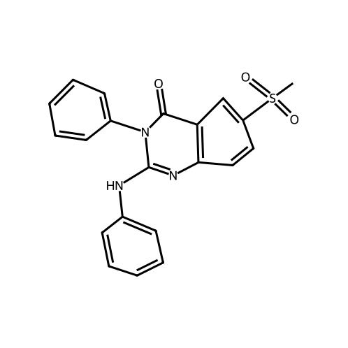 CS(=O)(=O)c1ccc2nc(Nc3ccccc3)n(-c3ccccc3)c(=O)c2c1